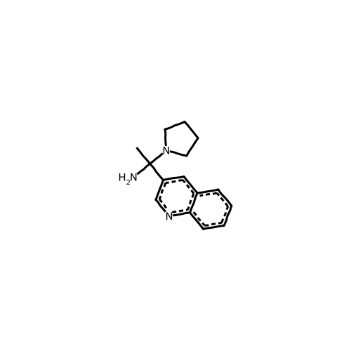 CC(N)(c1cnc2ccccc2c1)N1CCCC1